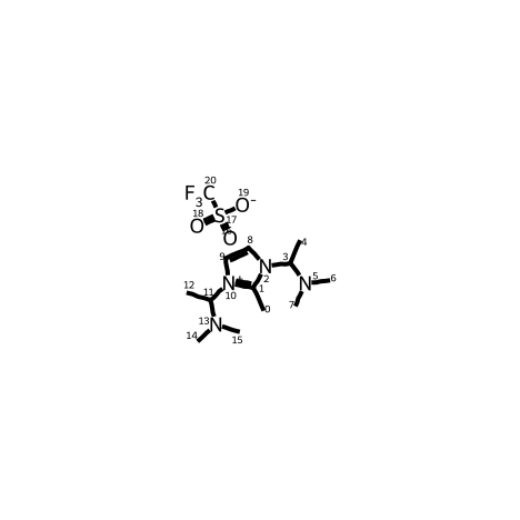 Cc1n(C(C)N(C)C)cc[n+]1C(C)N(C)C.O=S(=O)([O-])C(F)(F)F